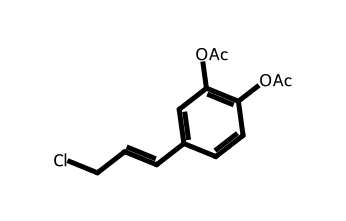 CC(=O)Oc1ccc(C=CCCl)cc1OC(C)=O